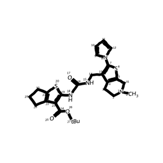 CN1CCc2c(sc(-n3cccc3)c2CNC(=O)Nc2sc3c(c2C(=O)OC(C)(C)C)CCC3)C1